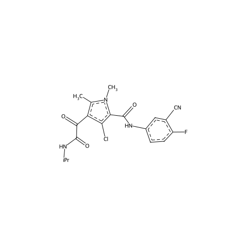 Cc1c(C(=O)C(=O)NC(C)C)c(Cl)c(C(=O)Nc2ccc(F)c(C#N)c2)n1C